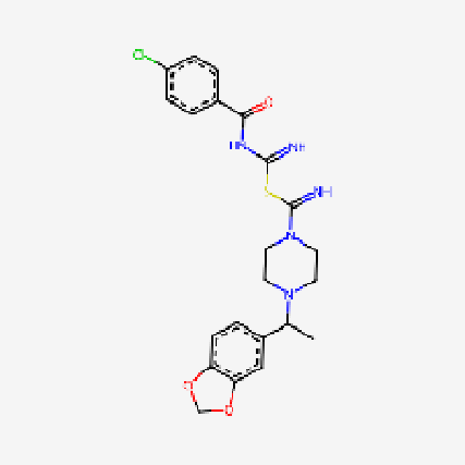 CC(c1ccc2c(c1)OCO2)N1CCN(C(=N)SC(=N)NC(=O)c2ccc(Cl)cc2)CC1